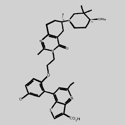 CO[C@H]1CCN([C@]2(C)CCc3nc(C)n(CCOc4ccc(Cl)cc4-c4cc(C)nc5c(C(=O)O)csc45)c(=O)c3C2)CC1(C)C